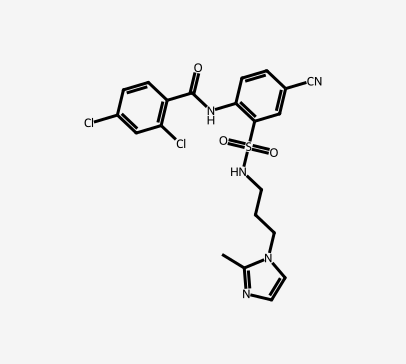 Cc1nccn1CCCNS(=O)(=O)c1cc(C#N)ccc1NC(=O)c1ccc(Cl)cc1Cl